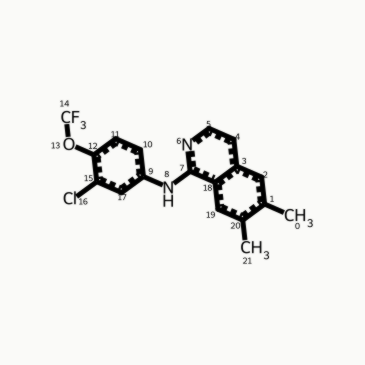 Cc1cc2ccnc(Nc3ccc(OC(F)(F)F)c(Cl)c3)c2cc1C